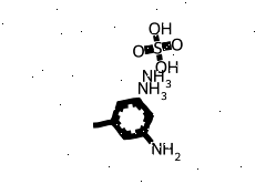 Cc1cccc(N)c1.N.N.O=S(=O)(O)O